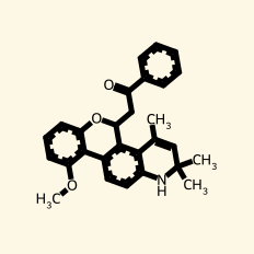 COc1cccc2c1-c1ccc3c(c1C(CC(=O)c1ccccc1)O2)C(C)=CC(C)(C)N3